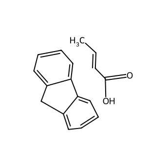 CC=CC(=O)O.c1ccc2c(c1)Cc1ccccc1-2